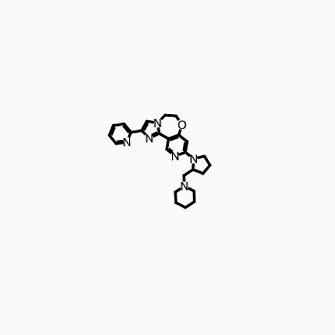 c1ccc(-c2cn3c(n2)-c2cnc(N4CCCC4CN4CCCCC4)cc2OCC3)nc1